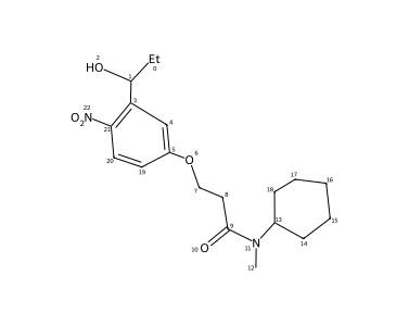 CCC(O)c1cc(OCCC(=O)N(C)C2CCCCC2)ccc1[N+](=O)[O-]